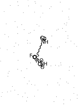 O=C1CCC(N2Cc3cc(F)cc(SCCCCCCCNC45CC6CC(CC(C6)C4)C5)c3C2)C(=O)N1